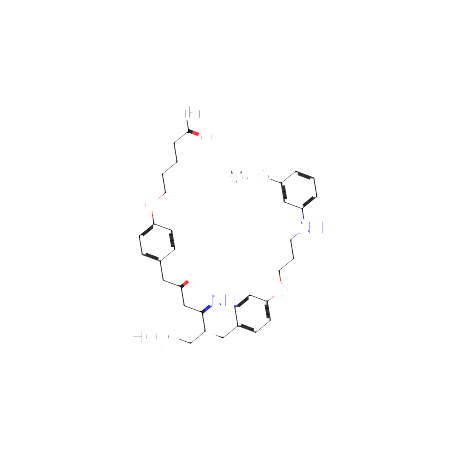 COc1cccc(NCCCOc2ccc(C[C@@H](CC(=O)O)C(=N)CC(=O)Cc3ccc(OCCCCC(=O)C(C)C)cc3)cc2)c1